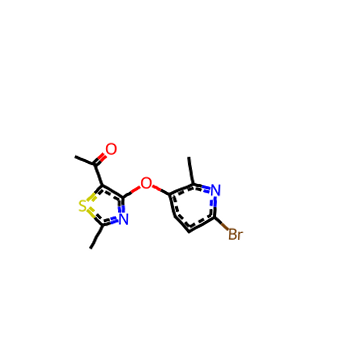 CC(=O)c1sc(C)nc1Oc1ccc(Br)nc1C